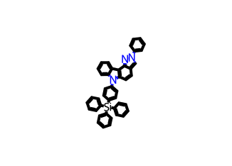 c1ccc(-n2cc3ccc4c(c5ccccc5n4-c4ccc([Si](c5ccccc5)(c5ccccc5)c5ccccc5)cc4)c3n2)cc1